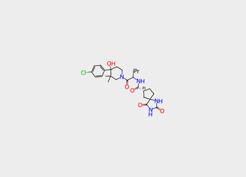 CC(C)C(NC(=O)[C@@H]1CCC2(C1)NC(=O)NC2=O)C(=O)N1CCC(O)(c2ccc(Cl)cc2)C(C)(C)C1